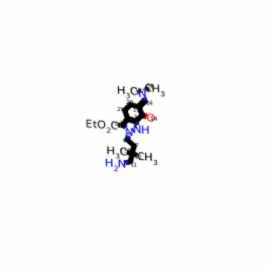 CCOC(=O)C1C2=C(NN1CCC(C)(C)CN)C(=O)C(=CN(C)C)CC2